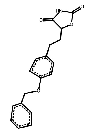 O=C1NC(=O)C(CCc2ccc(OCc3ccccc3)cc2)O1